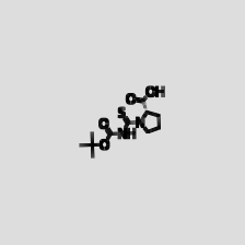 CC(C)(C)OC(=O)NC(=S)N1CCC[C@H]1C(=O)O